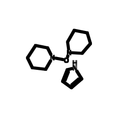 C1CCN(ON2CCCCC2)CC1.c1cc[nH]c1